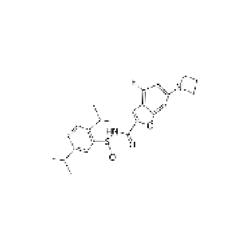 CC(C)c1ccc(C(C)C)c([S+]([O-])NC(=O)c2cc3c(F)cc(N4CCC4)cc3o2)c1